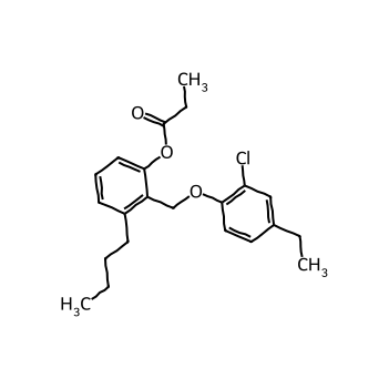 CCCCc1cccc(OC(=O)CC)c1COc1ccc(CC)cc1Cl